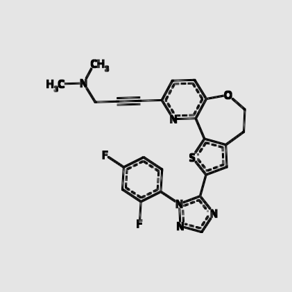 CN(C)CC#Cc1ccc2c(n1)-c1sc(-c3ncnn3-c3ccc(F)cc3F)cc1CCO2